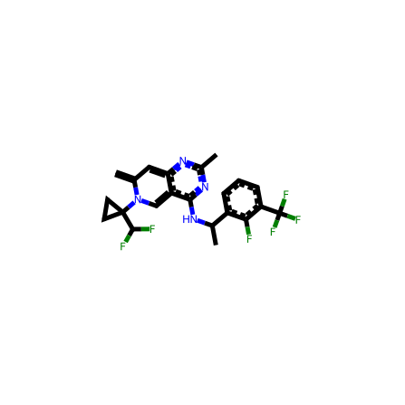 C=C1C=c2nc(C)nc(NC(C)c3cccc(C(F)(F)F)c3F)c2=CN1C1(C(F)F)CC1